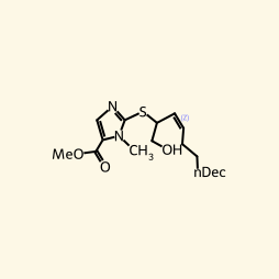 CCCCCCCCCCCC/C=C\C(CO)Sc1ncc(C(=O)OC)n1C